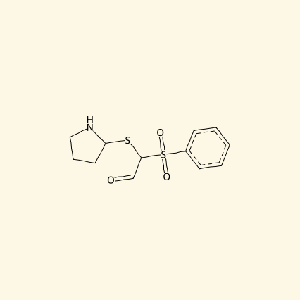 O=CC(SC1CCCN1)S(=O)(=O)c1ccccc1